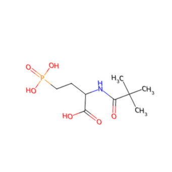 CC(C)(C)C(=O)NC(CCP(=O)(O)O)C(=O)O